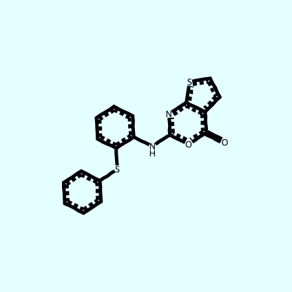 O=c1oc(Nc2ccccc2Sc2ccccc2)nc2sccc12